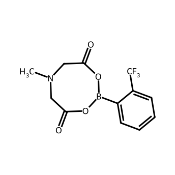 CN1CC(=O)OB(c2ccccc2C(F)(F)F)OC(=O)C1